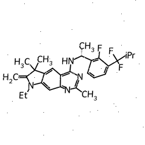 C=C1N(CC)c2cc3nc(C)nc(N[C@H](C)c4cccc(C(F)(F)C(C)C)c4F)c3cc2C1(C)C